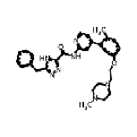 Cc1ccc(OCCN2CCN(C)CC2)cc1-c1ccnc(NC(=O)c2nnc(Cc3ccccc3)[nH]2)c1